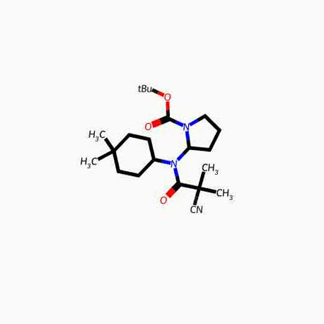 CC1(C)CCC(N(C(=O)C(C)(C)C#N)C2CCCN2C(=O)OC(C)(C)C)CC1